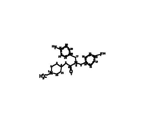 CN1CCC(CC(=O)N(Cc2ccc(F)cc2)Cc2ccc(F)cc2)CC1